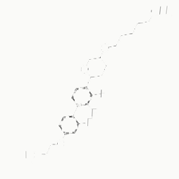 CCCCCCOC1CCC(c2ccc(-c3ccc(OCCC)cc3F)c(F)c2F)OC1